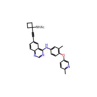 CC(=O)NC1(C#Cc2ccc3ncnc(Nc4ccc(Oc5ccc(C)nc5)c(C)c4)c3c2)CCC1